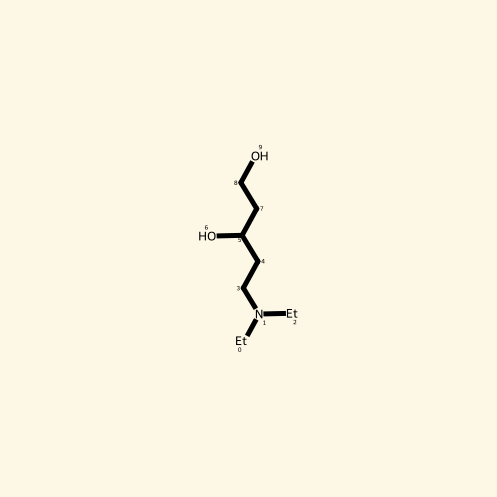 CCN(CC)CCC(O)CCO